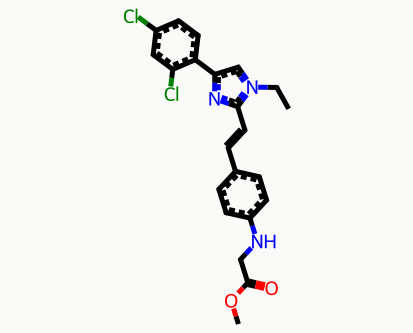 CCn1cc(-c2ccc(Cl)cc2Cl)nc1C=Cc1ccc(NCC(=O)OC)cc1